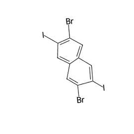 Brc1cc2cc(I)c(Br)cc2cc1I